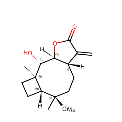 C=C1C(=O)O[C@@H]2[C@@H](O)[C@]3(C)CC[C@H]3[C@](C)(OC)CC[C@@H]12